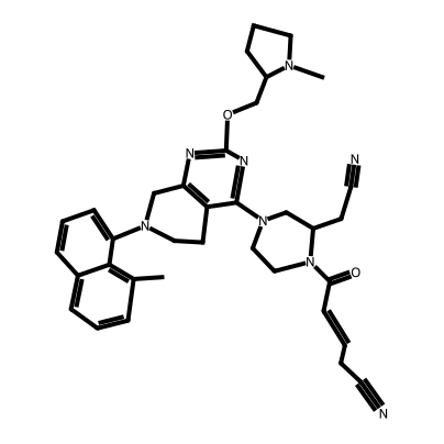 Cc1cccc2cccc(N3CCc4c(nc(OCC5CCCN5C)nc4N4CCN(C(=O)/C=C/CC#N)C(CC#N)C4)C3)c12